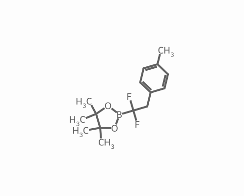 Cc1ccc(CC(F)(F)B2OC(C)(C)C(C)(C)O2)cc1